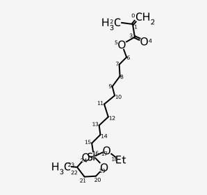 C=C(C)C(=O)OCCCCCCCCCC[Si]1(OCC)OCCC(C)O1